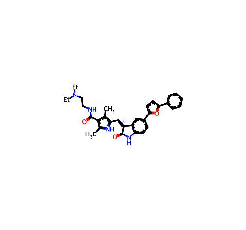 CCN(CC)CCNC(=O)c1c(C)[nH]c(/C=C2\C(=O)Nc3ccc(-c4ccc(-c5ccccc5)o4)cc32)c1C